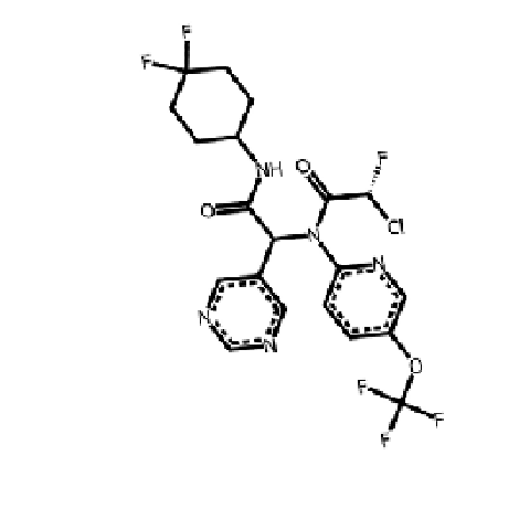 O=C(NC1CCC(F)(F)CC1)C(c1cncnc1)N(C(=O)[C@H](F)Cl)c1ccc(OC(F)(F)F)cn1